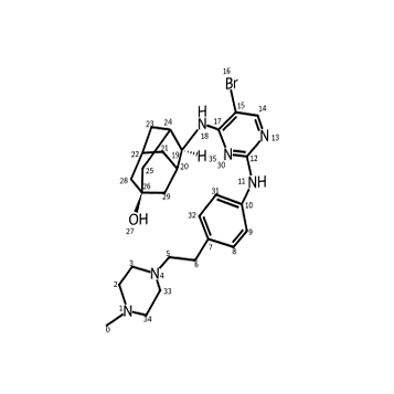 CN1CCN(CCc2ccc(Nc3ncc(Br)c(N[C@H]4C5CC6CC4C[C@@](O)(C6)C5)n3)cc2)CC1